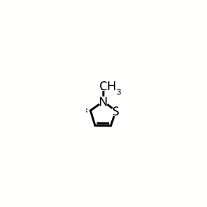 CN1[C]C=CS1